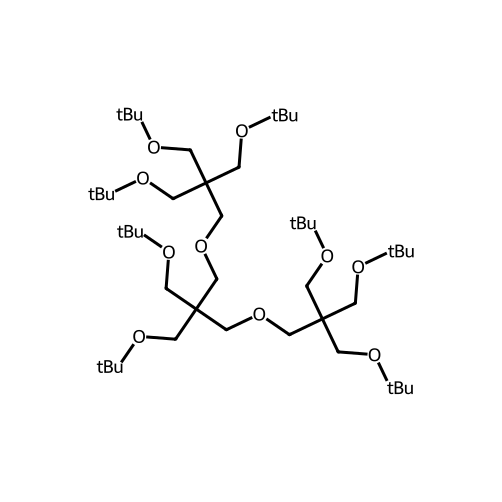 CC(C)(C)OCC(COCC(COC(C)(C)C)(COC(C)(C)C)COC(C)(C)C)(COCC(COC(C)(C)C)(COC(C)(C)C)COC(C)(C)C)COC(C)(C)C